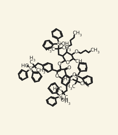 CCCCOC1C(C)OC(Oc2c(-c3ccc(CC(C)(C)[Si](O)(c4ccccc4)c4ccccc4)cc3)oc3cc(CC(C)(C)[Si](O)(c4ccccc4)c4ccccc4)cc(O[Si](c4ccccc4)(c4ccccc4)C(C)(C)C)c3c2=O)C(CC(C)(C)[Si](O)(c2ccccc2)c2ccccc2)C1OCCCC